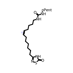 CCCCCNC(=O)NCCCC/C=C\CCCCCCc1nsc(=O)[nH]1